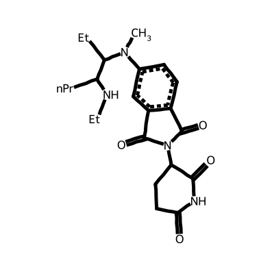 CCCC(NCC)C(CC)N(C)c1ccc2c(c1)C(=O)N(C1CCC(=O)NC1=O)C2=O